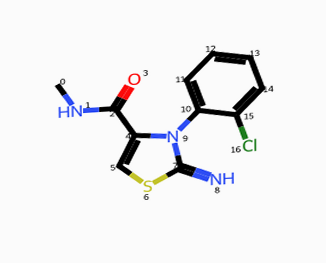 CNC(=O)c1csc(=N)n1-c1ccccc1Cl